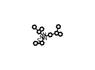 c1ccc(-c2cc(-c3ccc(-c4nc(-c5ccc(-c6ccccc6)c6ccccc56)nc(-c5cccc6c5sc5ccccc56)n4)cc3)cc3ccccc23)cc1